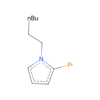 CCCCCCn1cccc1[P]